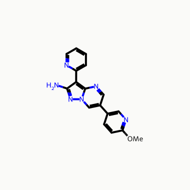 COc1ccc(-c2cnc3c(-c4ccccn4)c(N)nn3c2)cn1